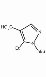 CCCCn1ncc(C(=O)O)c1CC